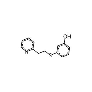 Oc1cccc(SCCc2ccccn2)c1